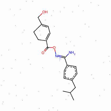 CC(C)Cc1ccc(/C(N)=N/OC(=O)C2=CC=C(CO)CC2)cc1